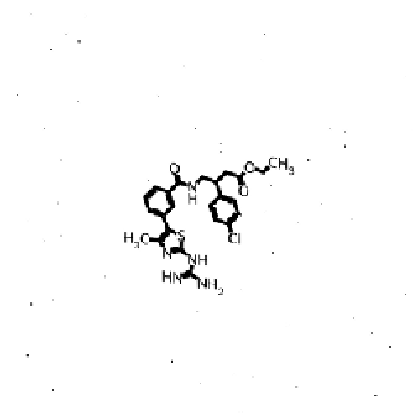 CCOC(=O)CC(CNC(=O)c1cccc(-c2sc(NC(=N)N)nc2C)c1)c1ccc(Cl)cc1